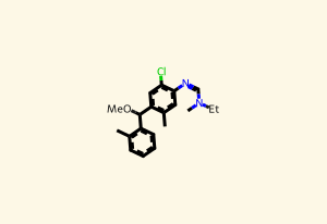 CCN(C)/C=N\c1cc(C)c(C(OC)c2ccccc2C)cc1Cl